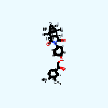 Cc1ccc(C(=O)COc2ccc(N3C(=O)[C@@H]4[C@@H]5C=C[C@@H]([C@H]6C[C@@H]56)[C@@H]4C3=O)cc2)cc1C